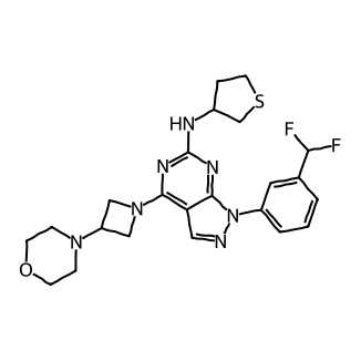 FC(F)c1cccc(-n2ncc3c(N4CC(N5CCOCC5)C4)nc(NC4CCSC4)nc32)c1